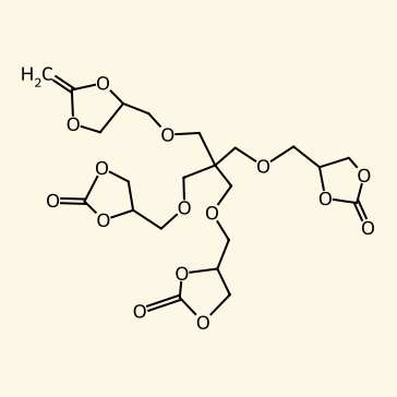 C=C1OCC(COCC(COCC2COC(=O)O2)(COCC2COC(=O)O2)COCC2COC(=O)O2)O1